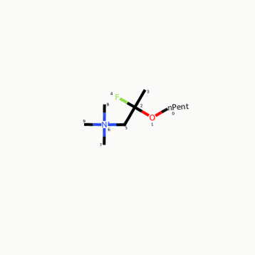 CCCCCOC(C)(F)C[N+](C)(C)C